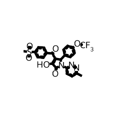 Cc1ccc(N2C(=O)C(O)=C(C(=O)c3ccc(S(C)(=O)=O)cc3)C2c2ccc(OC(F)(F)F)cc2)nn1